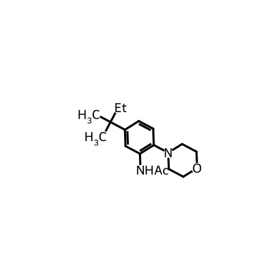 CCC(C)(C)c1ccc(N2CCOCC2)c(NC(C)=O)c1